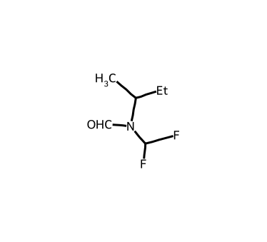 CCC(C)N(C=O)C(F)F